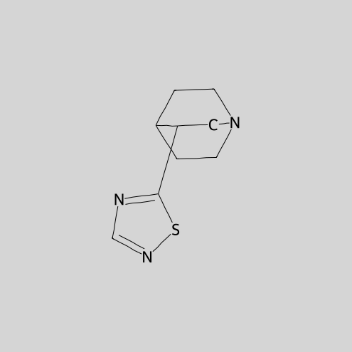 c1nsc(C2CN3CCC2CC3)n1